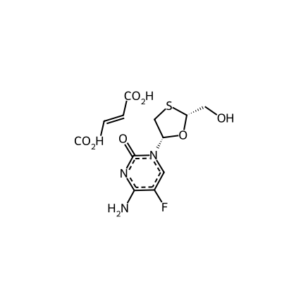 Nc1nc(=O)n([C@@H]2CS[C@H](CO)O2)cc1F.O=C(O)/C=C/C(=O)O